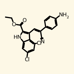 CCOC(=O)c1[nH]c2cc(Cl)cc(Cl)c2c1/C=C(\C#N)c1ccc(N)cc1